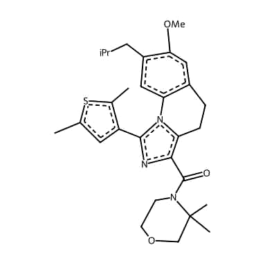 COc1cc2c(cc1CC(C)C)-n1c(-c3cc(C)sc3C)nc(C(=O)N3CCOCC3(C)C)c1CC2